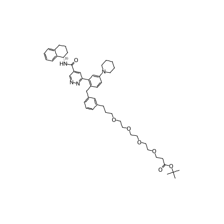 CC(C)(C)OC(=O)CCOCCOCCOCCOCCCc1cccc(Cc2ccc(N3CCCCC3)cc2-c2cc(C(=O)N[C@H]3CCCc4ccccc43)cnn2)c1